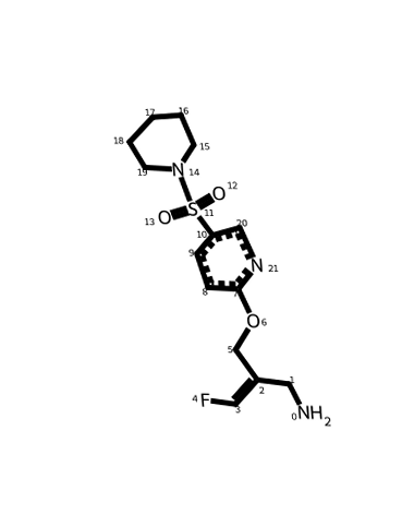 NC/C(=C/F)COc1ccc(S(=O)(=O)N2CCCCC2)cn1